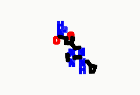 NC(=O)c1cc(-c2cnc(NCC3CCC3)c3nccn23)co1